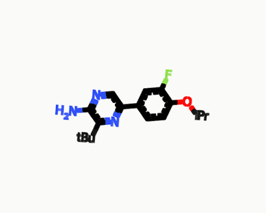 CC(C)Oc1ccc(-c2cnc(N)c(C(C)(C)C)n2)cc1F